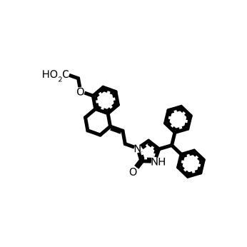 O=C(O)COc1cccc2c1CCCC2=CCn1cc(C(c2ccccc2)c2ccccc2)[nH]c1=O